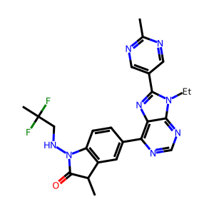 CCn1c(-c2cnc(C)nc2)nc2c(-c3ccc4c(c3)C(C)C(=O)N4NCC(C)(F)F)ncnc21